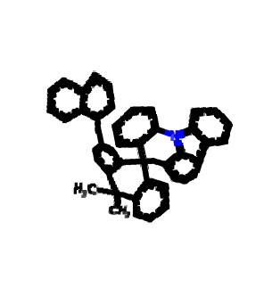 CC1(C)c2ccccc2C2(c3ccccc3-n3c4ccccc4c4cccc2c43)c2cc(-c3cccc4ccccc34)ccc21